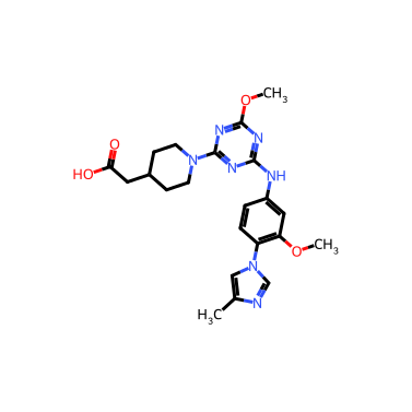 COc1nc(Nc2ccc(-n3cnc(C)c3)c(OC)c2)nc(N2CCC(CC(=O)O)CC2)n1